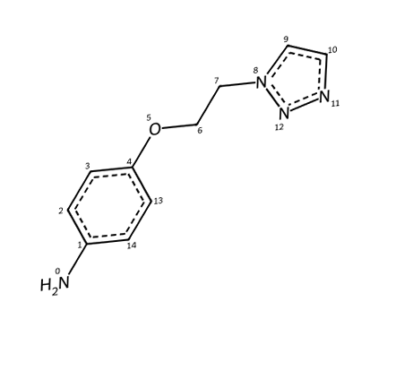 Nc1ccc(OCCn2ccnn2)cc1